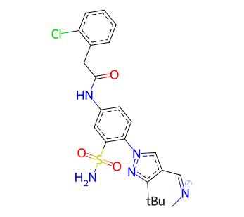 C/N=C\c1cn(-c2ccc(NC(=O)Cc3ccccc3Cl)cc2S(N)(=O)=O)nc1C(C)(C)C